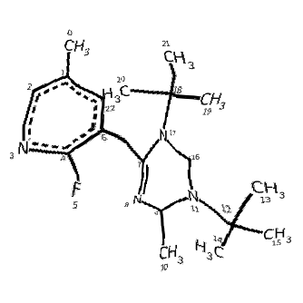 Cc1cnc(F)c(C2=NC(C)N(C(C)(C)C)[CH]N2C(C)(C)C)c1